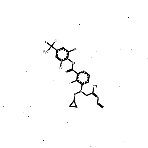 C=C/N=C(/C#N)CN(CC1CC1)c1cccc(C(=O)Nc2c(Br)cc(C(F)(C(F)(F)F)C(F)(F)F)cc2Br)c1F